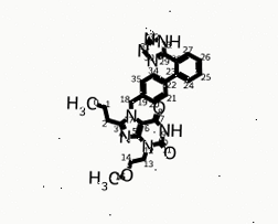 CCCc1nc2c(c(=O)[nH]c(=O)n2CCOC)n1Cc1ccc(-c2ccccc2-c2nnn[nH]2)cc1